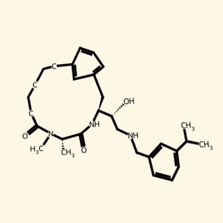 CC(C)c1cccc(CNC[C@@H](O)[C@@H]2Cc3cccc(c3)CCCCCC(=O)N(C)[C@@H](C)C(=O)N2)c1